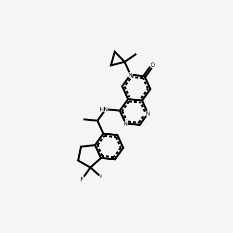 CC(Nc1ncnc2cc(=O)n(C3(C)CC3)cc12)c1cccc2c1CCC2(F)F